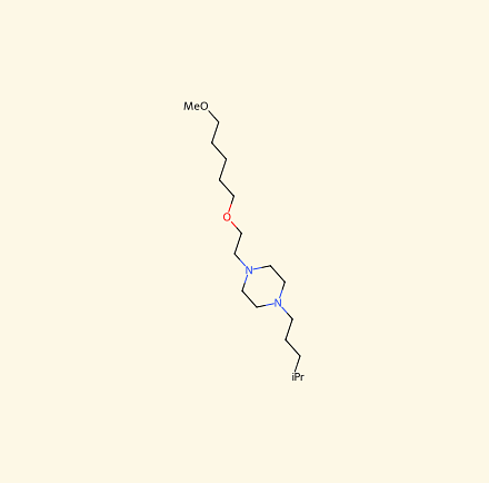 COCCCCCOCCN1CCN(CCCC(C)C)CC1